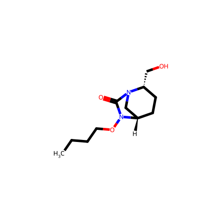 CCCCON1C(=O)N2C[C@@H]1CC[C@H]2CO